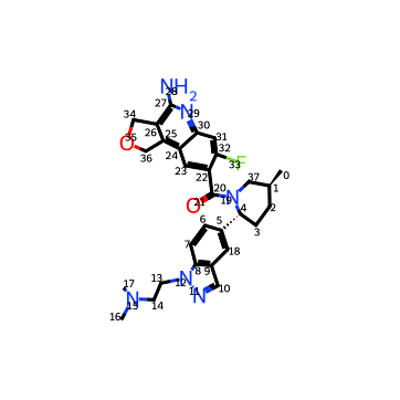 C[C@H]1CC[C@H](c2ccc3c(cnn3CCN(C)C)c2)N(C(=O)c2cc3c4c(c(N)nc3cc2F)COC4)C1